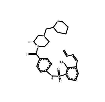 C=C/C=C\c1cccc(S(=O)(=O)Nc2ccc(C(=O)N3CCN(CC4CCCCO4)C[C@H]3C)cc2)c1N